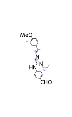 C/C=C\N(C)C(Nc1ccc(C=O)c(C)c1)/C(C)=N/C=C(\C)c1ccc(OC)c(C)c1